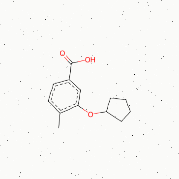 Cc1ccc(C(=O)O)cc1OC1CCCC1